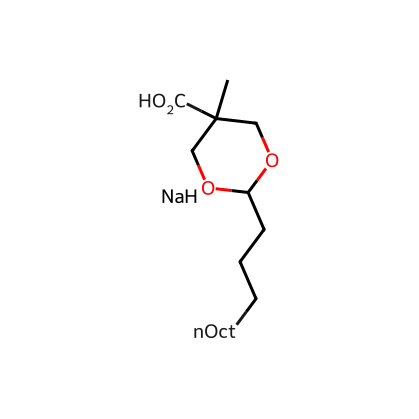 CCCCCCCCCCCC1OCC(C)(C(=O)O)CO1.[NaH]